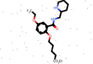 CCOC(=O)CCCCOc1ccc(OCC(F)(F)F)cc1C(=O)NCC1CCCCN1